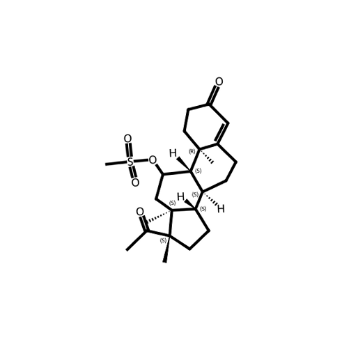 CC(=O)[C@@]1(C)CC[C@H]2[C@@H]3CCC4=CC(=O)CC[C@]4(C)[C@H]3C(OS(C)(=O)=O)C[C@@]21C